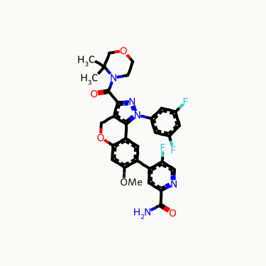 COc1cc2c(cc1-c1cc(C(N)=O)ncc1F)-c1c(c(C(=O)N3CCOCC3(C)C)nn1-c1cc(F)cc(F)c1)CO2